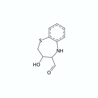 O=CC1Nc2ccccc2SCC1O